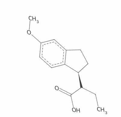 CCC(C(=O)O)[C@@H]1CCc2cc(OC)ccc21